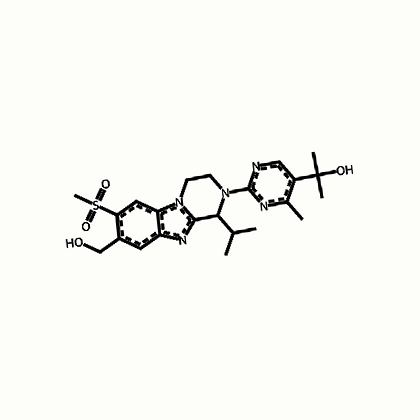 Cc1nc(N2CCn3c(nc4cc(CO)c(S(C)(=O)=O)cc43)C2C(C)C)ncc1C(C)(C)O